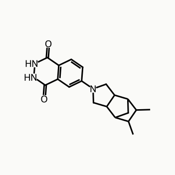 CC1C(C)C2CC1C1CN(c3ccc4c(=O)[nH][nH]c(=O)c4c3)CC21